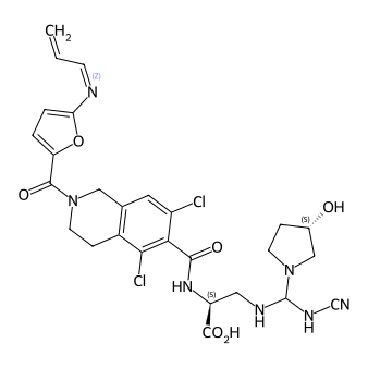 C=C/C=N\c1ccc(C(=O)N2CCc3c(cc(Cl)c(C(=O)N[C@@H](CNC(NC#N)N4CC[C@H](O)C4)C(=O)O)c3Cl)C2)o1